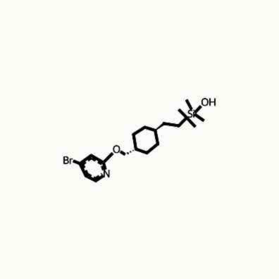 CC(C)(CC[C@H]1CC[C@H](COc2cc(Br)ccn2)CC1)[Si](C)(C)O